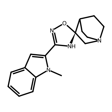 Cn1c(C2=NO[C@]3(CN4CCC3CC4)N2)cc2ccccc21